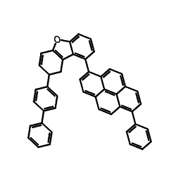 C1=CC(c2ccc(-c3ccccc3)cc2)Cc2c1oc1cccc(-c3ccc4ccc5c(-c6ccccc6)ccc6ccc3c4c65)c21